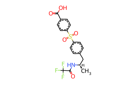 C[C@H](Cc1ccc(S(=O)(=O)c2ccc(C(=O)O)cc2)cc1)NC(=O)C(F)(F)F